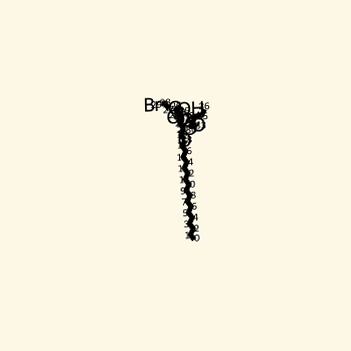 CCCCCCCCCCCCCCCCCCOCC(COP(=O)(O)OCCBr)OS(=O)(=O)CCC